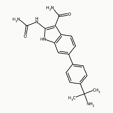 CC(C)(N)c1ccc(-c2ccc3c(C(N)=O)c(NC(N)=O)[nH]c3c2)cc1